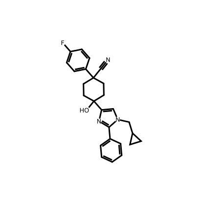 N#CC1(c2ccc(F)cc2)CCC(O)(c2cn(CC3CC3)c(-c3ccccc3)n2)CC1